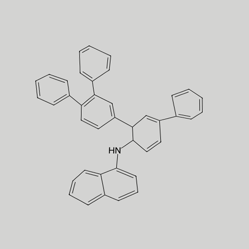 C1=CC(Nc2cccc3ccccc23)C(c2ccc(-c3ccccc3)c(-c3ccccc3)c2)C=C1c1ccccc1